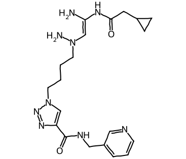 N/C(=C\N(N)CCCCn1cc(C(=O)NCc2cccnc2)nn1)NC(=O)CC1CC1